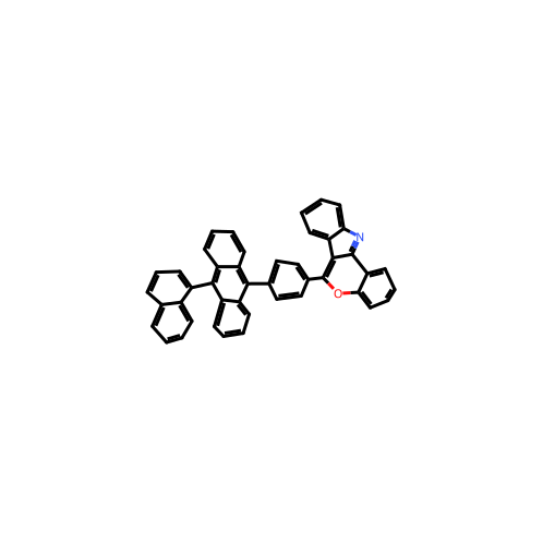 c1ccc2c(-c3c4ccccc4c(-c4ccc(-c5oc6ccccc6c6nc7ccccc7c5-6)cc4)c4ccccc34)cccc2c1